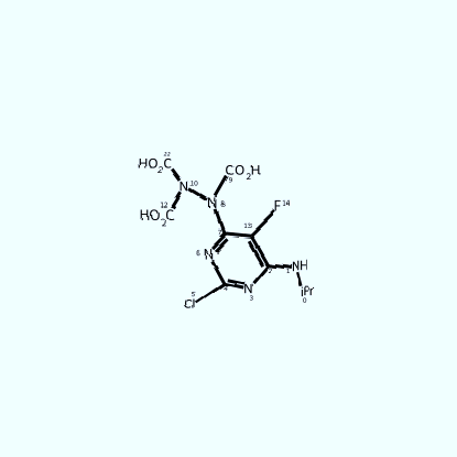 CC(C)Nc1nc(Cl)nc(N(C(=O)O)N(C(=O)O)C(=O)O)c1F